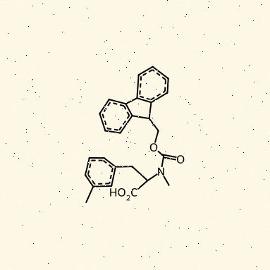 Cc1cccc(CC(C(=O)O)N(C)C(=O)OCC2c3ccccc3-c3ccccc32)c1